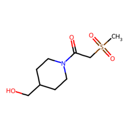 CS(=O)(=O)CC(=O)N1CCC(CO)CC1